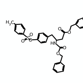 Cc1ccc(S(=O)(=O)Oc2ccc(CC(CC(=O)OCc3ccccc3)NC(=O)OCc3ccccc3)cc2)cc1